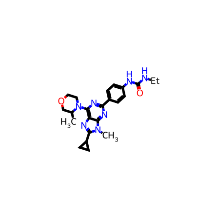 CCNC(=O)Nc1ccc(-c2nc(N3CCOCC3C)c3nc(C4CC4)n(C)c3n2)cc1